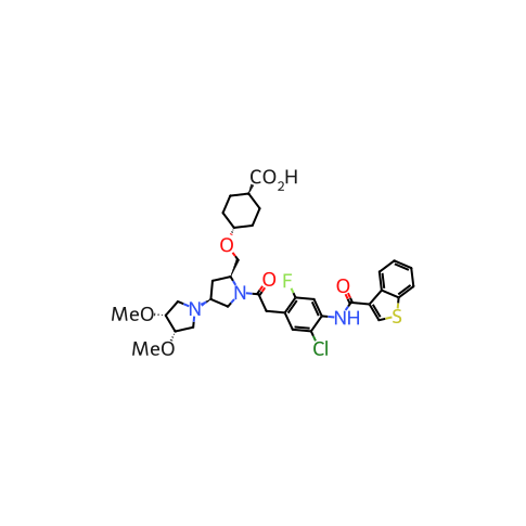 CO[C@H]1CN([C@H]2C[C@@H](CO[C@H]3CC[C@H](C(=O)O)CC3)N(C(=O)Cc3cc(Cl)c(NC(=O)c4csc5ccccc45)cc3F)C2)C[C@H]1OC